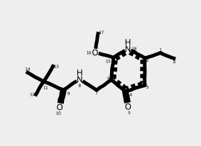 CCc1cc(=O)c(CNC(=O)C(C)(C)C)c(OC)[nH]1